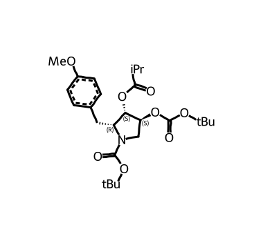 COc1ccc(C[C@@H]2[C@H](OC(=O)C(C)C)[C@@H](OC(=O)OC(C)(C)C)CN2C(=O)OC(C)(C)C)cc1